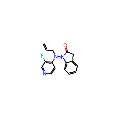 C=CCN(c1ccncc1F)N1C(=O)Cc2ccccc21